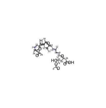 CC(=O)OCC1(O)CC(/C=C/C(C)=C/C[C@@H]2O[C@H](C)[C@H](NC(=O)/C=C\[C@H](C)OC(C)=O)C[C@@H]2C)OC(CC(=O)O)C1